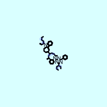 C=C/C(=C\C=C/C)n1c2c(c3ccccc31)=CC(C1=C/C(=C)c3ccccc3N(c3nc(C(/C=C\C)=C/C)nc(-c4ccccc4)n3)C(C)/C=C\1)=CCC=2